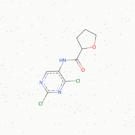 O=C(Nc1cnc(Cl)nc1Cl)C1CCCO1